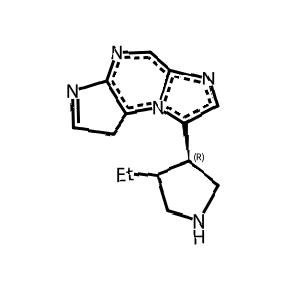 CCC1CNC[C@@H]1c1cnc2cnc3c(n12)CC=N3